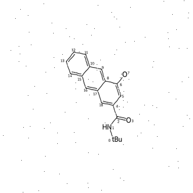 CC(C)(C)NC(=O)c1cc([O])c2cc3ccccc3cc2c1